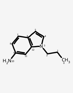 CCCn1ccc2ccc(N)cc21